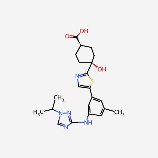 Cc1cc(Nc2ncn(C(C)C)n2)cc(-c2cnc([C@]3(O)CC[C@@H](C(=O)O)CC3)s2)c1